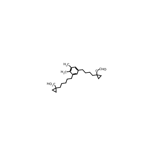 Cc1cc(CCCCC2(OC=O)CC2)cc(CCCCCC2(C(=O)O)CC2)c1C